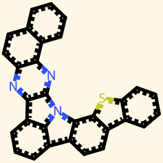 c1ccc2c(c1)ccc1nc3c4cccc5c6ccc7c8ccccc8sc7c6n(c3nc12)c54